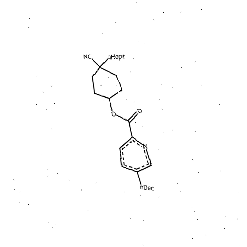 CCCCCCCCCCc1ccc(C(=O)OC2CCC(C#N)(CCCCCCC)CC2)nc1